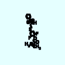 CN(C)C(=O)COc1c(F)cc(SCCNS(=O)(=O)c2ccccc2)cc1F